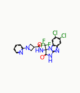 O=C(NC1(C(F)(F)F)C(=O)Nc2nc3cc(Cl)c(Cl)cc3n21)C1CN(c2ccccn2)C1